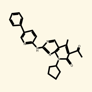 CC(=O)c1c(C)c2cnc(Nc3ccc(-c4ccccc4)cn3)nc2n(C2CCCC2)c1=O